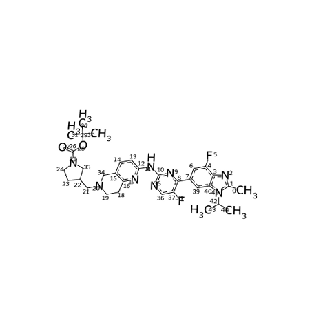 Cc1nc2c(F)cc(-c3nc(Nc4ccc5c(n4)CCN(CC4CCN(C(=O)OC(C)(C)C)C4)C5)ncc3F)cc2n1C(C)C